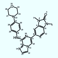 Cn1c(=O)n(C)c2cc(-c3cn4ccnc4c(Nc4ccc(N5CCOCC5)cc4)n3)ccc21